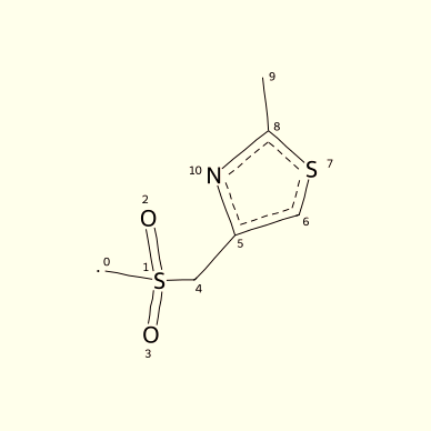 [CH2]S(=O)(=O)Cc1csc(C)n1